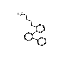 CCCCCc1ccccc1-c1ccccc1-c1ccccc1